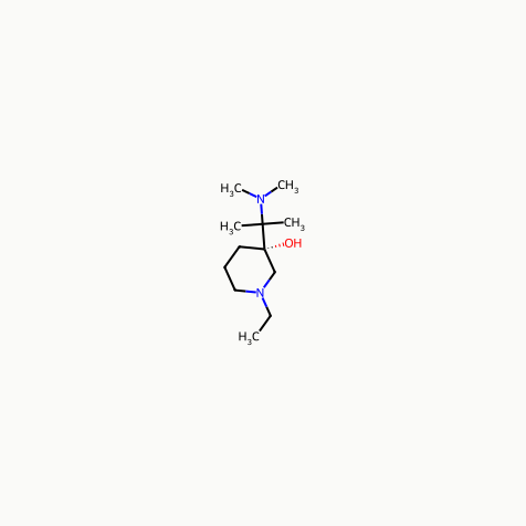 CCN1CCC[C@@](O)(C(C)(C)N(C)C)C1